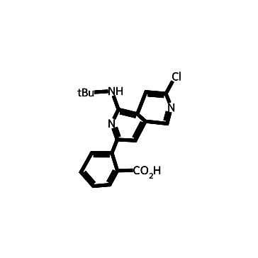 CC(C)(C)Nc1nc(-c2ccccc2C(=O)O)cc2cnc(Cl)cc12